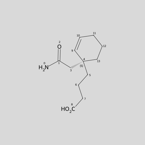 NC(=O)C[C@]1(CCCC(=O)O)C=CCCC1